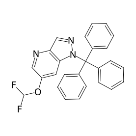 FC(F)Oc1cnc2cnn(C(c3ccccc3)(c3ccccc3)c3ccccc3)c2c1